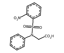 O=C(O)CN(c1ccccc1)S(=O)(=O)c1ccccc1[N+](=O)[O-]